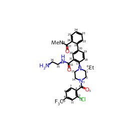 CC[C@@H]1CN(C(=O)c2ccc(C(F)(F)F)cc2Cl)CCN1c1ccc(-c2ccccc2C(=O)NC)cc1C(=O)NCCN